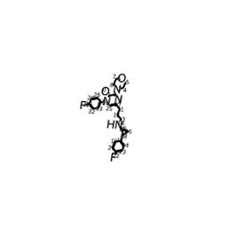 O=c1c(N2CCOCC2)nc(CCCN[C@@H]2C[C@H]2c2ccc(F)cc2)cn1-c1ccc(F)cc1